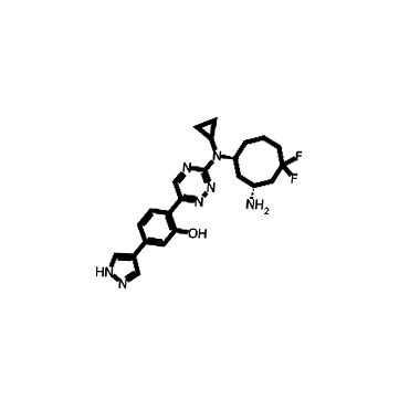 N[C@@H]1C[C@@H](N(c2ncc(-c3ccc(-c4cn[nH]c4)cc3O)nn2)C2CC2)CCCC(F)(F)C1